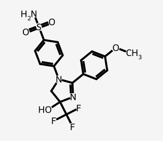 COc1ccc(C2=NC(O)(C(F)(F)F)CN2c2ccc(S(N)(=O)=O)cc2)cc1